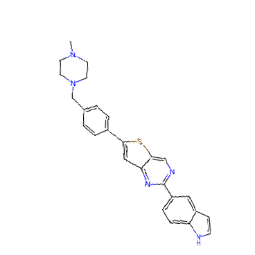 CN1CCN(Cc2ccc(-c3cc4nc(-c5ccc6[nH]ccc6c5)ncc4s3)cc2)CC1